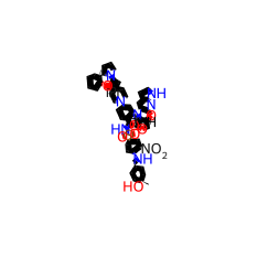 CC(C)Oc1ccccc1[C@@H]1CCCN1C1CC2(CCN(c3ccc(C(=O)NS(=O)(=O)c4ccc(NC[C@H]5CC[C@](C)(O)CC5)c([N+](=O)[O-])c4)c(N4c5cc6cc[nH]c6nc5O[C@@H]5COC[C@H]54)c3)CC2)C1